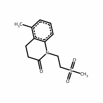 Cc1cccc2c1CCC(=O)N2CCS(C)(=O)=O